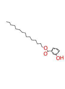 CCCCCCCCCCCCCCCOC(=O)c1cccc(O)c1